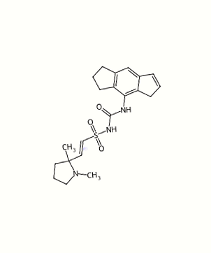 CN1CCCC1(C)/C=C/S(=O)(=O)NC(=O)Nc1c2c(cc3c1CCC3)C=CC2